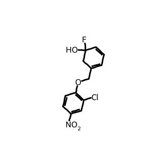 O=[N+]([O-])c1ccc(OCC2=CC=CC(O)(F)C2)c(Cl)c1